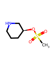 CS(=O)(=O)O[C@H]1CCCNC1